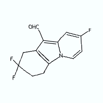 O=Cc1c2c(n3ccc(F)cc13)CCC(F)(F)C2